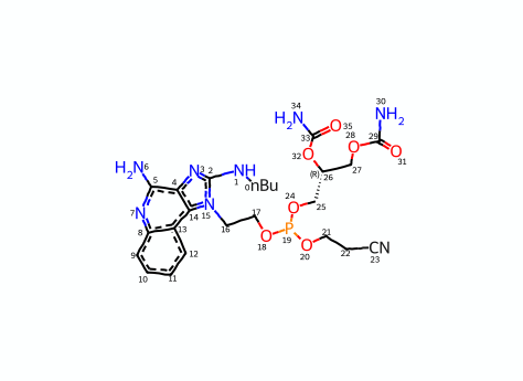 CCCCNc1nc2c(N)nc3ccccc3c2n1CCOP(OCCC#N)OC[C@@H](COC(N)=O)OC(N)=O